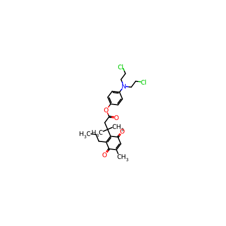 CCCC1=C(C(C)(C)CC(=O)Oc2ccc(N(CCCl)CCCl)cc2)C(=O)C=C(C)C1=O